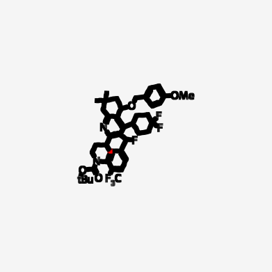 COc1ccc(COC2CC(C)(C)Cc3nc(C4CCN(C(=O)OC(C)(C)C)CC4)c(C(F)c4ccc(C(F)(F)F)cc4)c(C4CCC(F)(F)CC4)c32)cc1